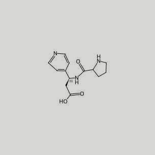 O=C(O)C[C@H](NC(=O)C1CCCN1)c1ccncc1